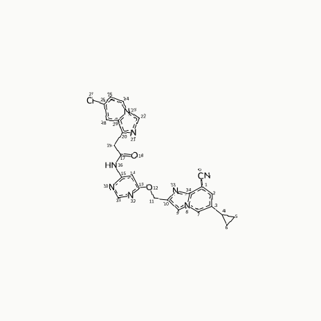 N#Cc1cc(C2CC2)cn2cc(COc3cc(NC(=O)Cc4ncn5ccc(Cl)cc45)ncn3)nc12